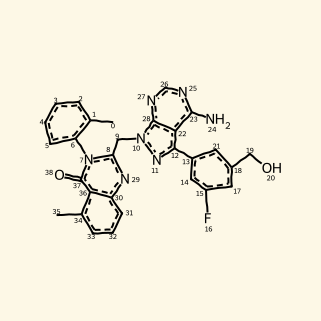 Cc1ccccc1-n1c(Cn2nc(-c3cc(F)cc(CO)c3)c3c(N)ncnc32)nc2cccc(C)c2c1=O